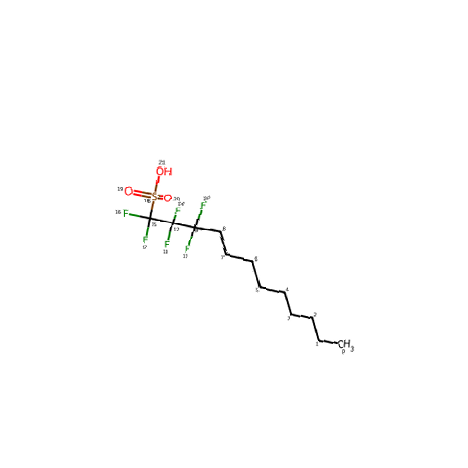 CCCCCCCCCC(F)(F)C(F)(F)C(F)(F)S(=O)(=O)O